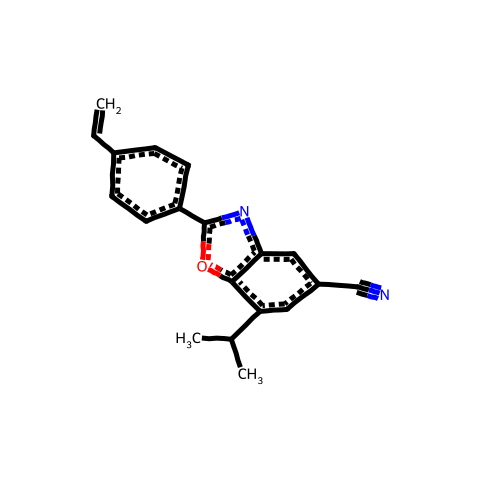 C=Cc1ccc(-c2nc3cc(C#N)cc(C(C)C)c3o2)cc1